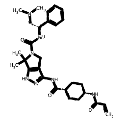 C=CC(=O)N[C@H]1CC[C@@H](C(=O)Nc2n[nH]c3c2CN(C(=O)N[C@H](CN(C)C)c2ccccc2)C3(C)C)CC1